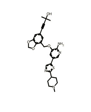 CN1CCC(c2ncc(-c3cnc(N)c(OCc4cc(C#CC(C)(C)O)cc5c4OCO5)c3)s2)CC1